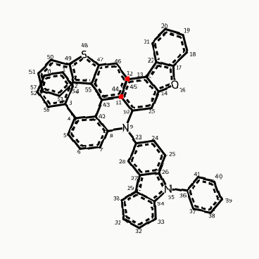 c1ccc(-c2cccc(N(c3ccc4c(c3)oc3ccccc34)c3ccc4c(c3)c3ccccc3n4-c3ccccc3)c2-c2cccc3sc4ccccc4c23)cc1